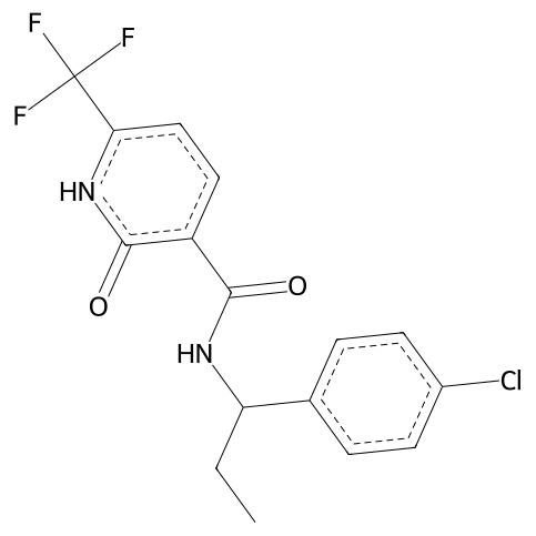 CCC(NC(=O)c1ccc(C(F)(F)F)[nH]c1=O)c1ccc(Cl)cc1